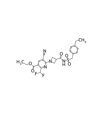 CCOC(=O)c1cc(C#N)c(N2CC(C(=O)NS(=O)(=O)Cc3ccc(CC)cc3)C2)nc1C(F)F